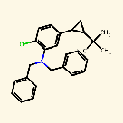 CC(C)(C)C1C[C]1c1ccc(Cl)c(N(Cc2ccccc2)Cc2ccccc2)c1